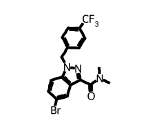 CN(C)C(=O)c1nn(Cc2ccc(C(F)(F)F)cc2)c2ccc(Br)cc12